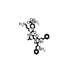 CC(C)C[C@@H](NC(=O)[C@@H](CCc1ccccc1)NC(=O)[C@@H](CN)Cc1ccccc1)C(=O)N[C@H](CCCCN)C(=O)N1CCC(N)(C(=O)O)CC1